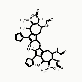 CC1=C(C2=CC=CC2)C2=C(CC(NC=O)C(NC=O)C(=[Si](C)C)C2C)[CH]1[Hf][CH]1C(C)=C(C2=CC=CC2)C2=C1CC(NC=O)C(NC=O)C(=[Si](C)C)C2C